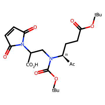 CC(=O)[C@H](CCC(=O)OC(C)(C)C)N(CC(C(=O)O)N1C(=O)C=CC1=O)C(=O)OC(C)(C)C